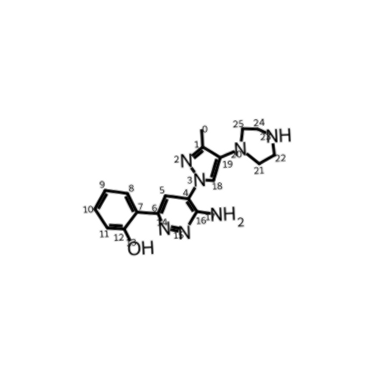 Cc1nn(-c2cc(-c3ccccc3O)nnc2N)cc1N1CCNCC1